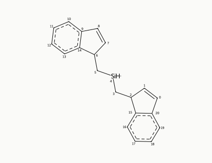 C1=CC(C[SiH]CC2C=Cc3ccccc32)c2ccccc21